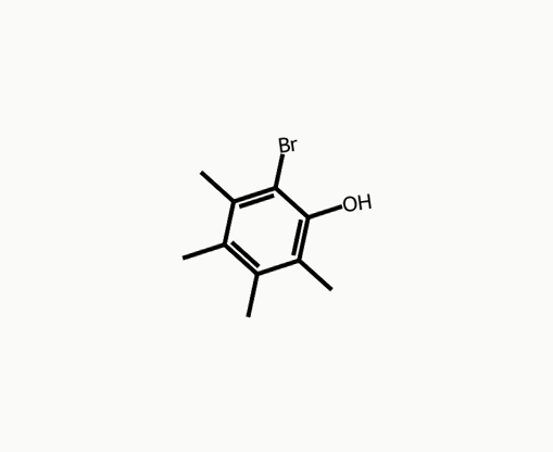 Cc1c(C)c(C)c(Br)c(O)c1C